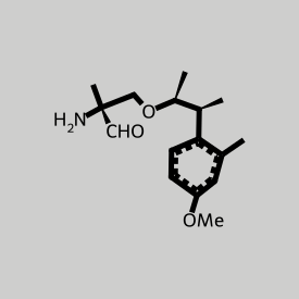 COc1ccc([C@H](C)[C@H](C)OC[C@@](C)(N)C=O)c(C)c1